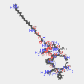 CCCC[C@H](NC(=O)[C@H](CCN)NC(=O)[C@H](Cc1c[nH]cn1)NC(=O)[C@H](CCC(N)=O)NC(=O)[C@H](CO)NC(=O)CNC(=O)COCCOCCNC(=O)CCCCCCCCCCCCCCCc1nnn[nH]1)C(=O)N[C@H]1CCC(=O)NCCCC[C@@H](C(N)=O)NC(=O)[C@H](Cc2c[nH]c3ccccc23)NC(=O)[C@H](CCCNC(=N)N)NC(=O)[C@@H](Cc2ccccc2)NC(=O)[C@@H]2C[C@@H](O)CN2C1=O